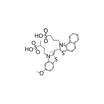 COc1ccc2c(c1)N(CCC(C)S(=O)(=O)O)/C(=C/c1sc3ccc4ccccc4c3[n+]1CCCS(=O)(=O)O)S2